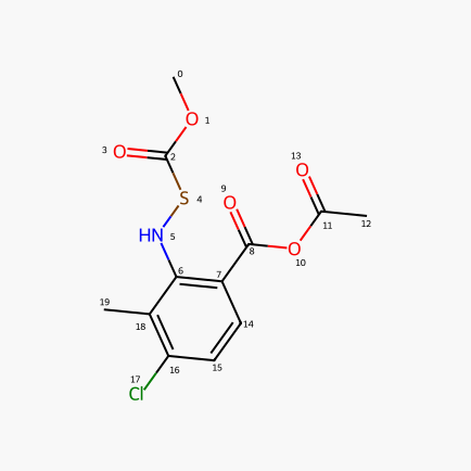 COC(=O)SNc1c(C(=O)OC(C)=O)ccc(Cl)c1C